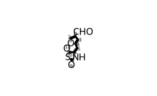 O=Cc1coc(C=C2NC(=O)SC2=O)c1